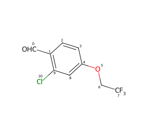 O=Cc1ccc(OCC(F)(F)F)cc1Cl